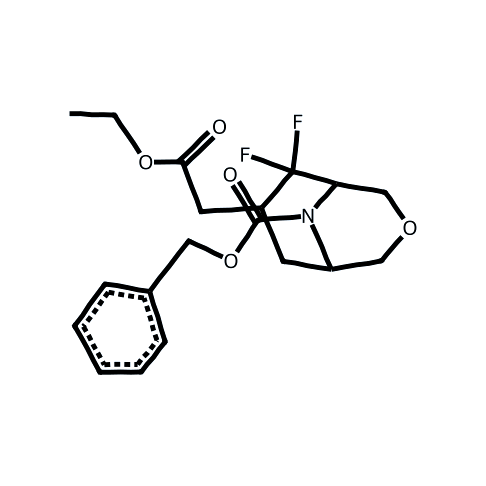 CCOC(=O)CC1CC2COCC(N2C(=O)OCc2ccccc2)C1(F)F